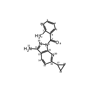 Cc1ncccc1C(=O)n1nc(N)c2ccc(C3CC3)nc21